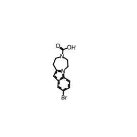 O=C(O)N1CCc2cc3cc(Br)ccc3n2CC1